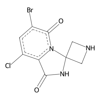 O=C1NC2(CNC2)n2c1c(Cl)cc(Br)c2=O